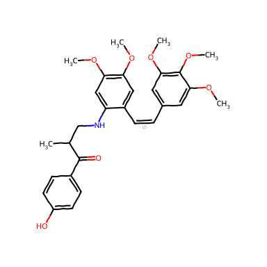 COc1cc(/C=C\c2cc(OC)c(OC)c(OC)c2)c(NCC(C)C(=O)c2ccc(O)cc2)cc1OC